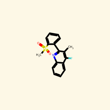 Cc1c(-c2ccccc2S(C)(=O)=O)nc2ccccc2c1F